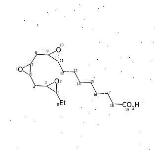 CCC1OC1CC1OC1CC1OC1CCCCCCCC(=O)O